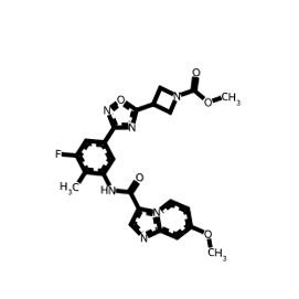 COC(=O)N1CC(c2nc(-c3cc(F)c(C)c(NC(=O)c4cnc5cc(OC)ccn45)c3)no2)C1